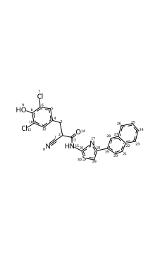 N#CC(Cc1cc(Cl)c(O)c(Cl)c1)C(=O)Nc1nc(-c2ccc3ccccc3c2)cs1